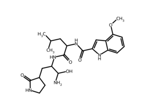 COc1cccc2[nH]c(C(=O)NC(CC(C)C)C(=O)NC(CC3CCNC3=O)C(N)O)cc12